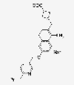 CC1=C(CN2CC(C(=O)[O-])C2)CCc2cc(OCc3ccc(CC(C)C)nc3)ccc21.[Na+]